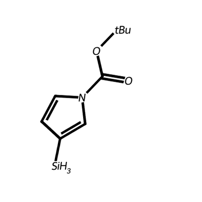 CC(C)(C)OC(=O)n1ccc([SiH3])c1